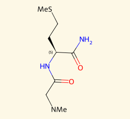 CNCC(=O)N[C@@H](CCSC)C(N)=O